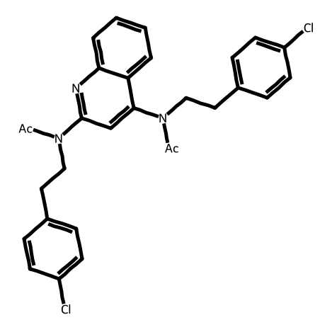 CC(=O)N(CCc1ccc(Cl)cc1)c1cc(N(CCc2ccc(Cl)cc2)C(C)=O)c2ccccc2n1